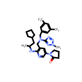 CC(CC1CCCC1)Nc1ncc(N2CCCC2=O)cc1CN(Cc1cc(C(F)(F)F)cc(C(F)(F)F)c1)c1nnn(C)n1